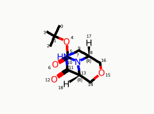 CC(C)(C)OC(=O)N1[C@@H]2CNC(=O)[C@H]1COC2